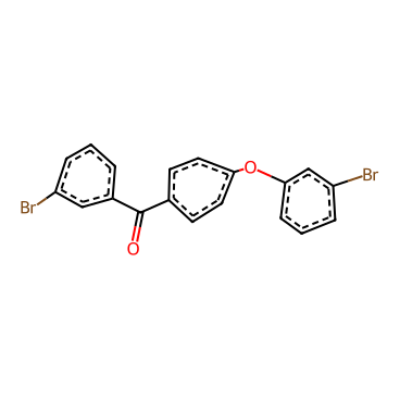 O=C(c1ccc(Oc2cccc(Br)c2)cc1)c1cccc(Br)c1